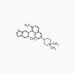 Cc1cc2ccsc2cc1-c1c2ccc(C3CC[Si](C)(C)CC3)cc2cc[n+]1C